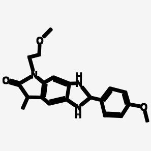 COCCN1C(=O)C(C)c2cc3c(cc21)NC(c1ccc(OC)cc1)N3